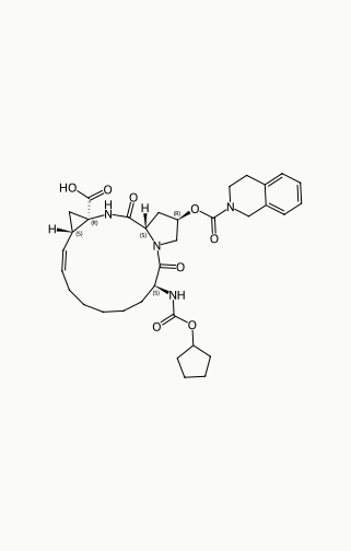 O=C(N[C@H]1CCCCCC=C[C@@H]2C[C@@]2(C(=O)O)NC(=O)[C@@H]2C[C@@H](OC(=O)N3CCc4ccccc4C3)CN2C1=O)OC1CCCC1